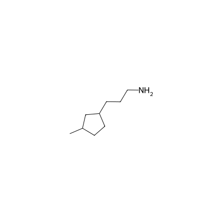 CC1CCC(CCCN)C1